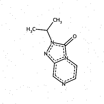 CC(C)n1nc2cnccn2c1=O